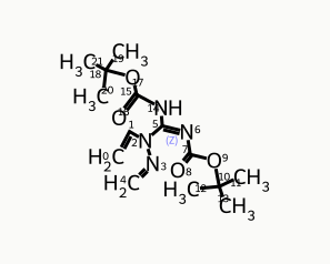 C=CN(N=C)/C(=N\C(=O)OC(C)(C)C)NC(=O)OC(C)(C)C